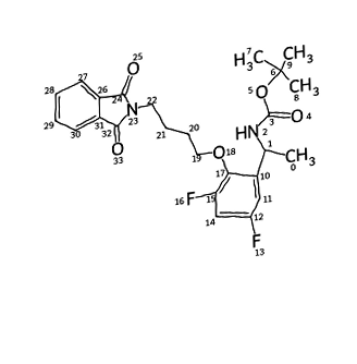 CC(NC(=O)OC(C)(C)C)c1cc(F)cc(F)c1OCCCCN1C(=O)c2ccccc2C1=O